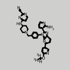 [2H]C([2H])([2H])Oc1ccc(-c2ccc3nc(-c4cccnc4N)n(-c4ccc(CN5CCC(Nc6ccnc(C#N)n6)CC5)cc4)c3n2)cn1